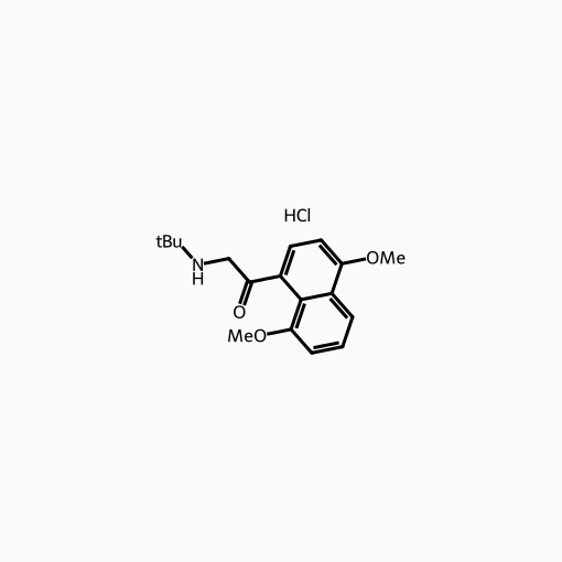 COc1ccc(C(=O)CNC(C)(C)C)c2c(OC)cccc12.Cl